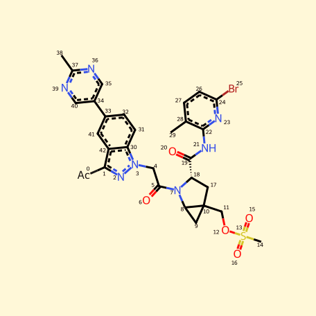 CC(=O)c1nn(CC(=O)N2C3CC3(COS(C)(=O)=O)C[C@H]2C(=O)Nc2nc(Br)ccc2C)c2ccc(-c3cnc(C)nc3)cc12